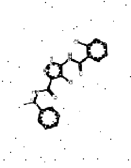 C[C@@H](NC(=O)c1n[nH]c(NC(=O)c2ccccc2Cl)c1Cl)c1ccccc1